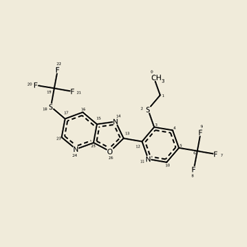 CCSc1cc(C(F)(F)F)cnc1-c1nc2cc(SC(F)(F)F)cnc2o1